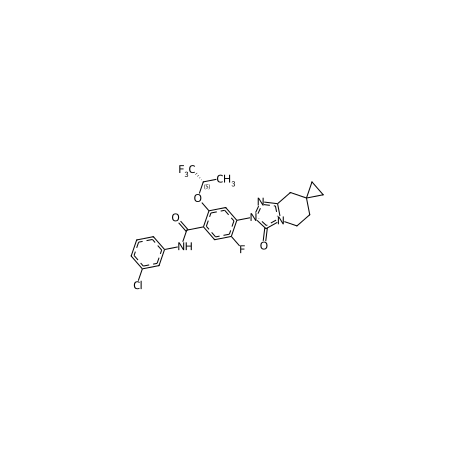 C[C@H](Oc1cc(-n2nc3n(c2=O)CCC2(CC2)C3)c(F)cc1C(=O)Nc1cccc(Cl)c1)C(F)(F)F